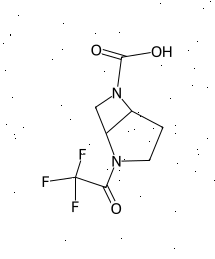 O=C(O)N1CC2C1CCN2C(=O)C(F)(F)F